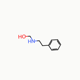 OCNCCc1ccccc1